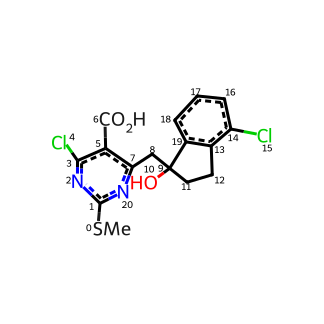 CSc1nc(Cl)c(C(=O)O)c(CC2(O)CCc3c(Cl)cccc32)n1